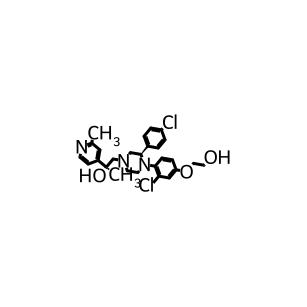 Cc1cc([C@](C)(O)CN2CCN(c3ccc(OCCO)cc3Cl)[C@H](c3ccc(Cl)cc3)C2)ccn1